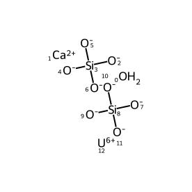 O.[Ca+2].[O-][Si]([O-])([O-])[O-].[O-][Si]([O-])([O-])[O-].[U+6]